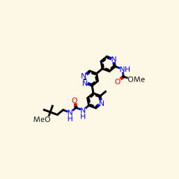 COC(=O)Nc1cc(-c2cnnc(-c3cc(NC(=O)NCCC(C)(C)OC)cnc3C)c2)ccn1